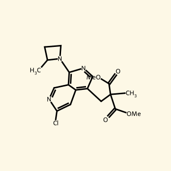 COC(=O)C(C)(Cc1cnc(N2CCC2C)c2cnc(Cl)cc12)C(=O)OC